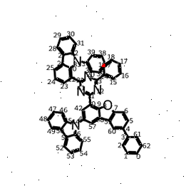 c1ccc(-c2ccc3oc4c(-c5nc(-c6ccccc6)nc(-c6cccc7c8ccccc8n(-c8ccccc8)c67)n5)cc(-n5c6ccccc6c6ccccc65)cc4c3c2)cc1